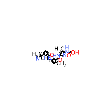 Cc1ccc(NC(=O)c2cccc(C(C)(C)C#N)c2)cc1C(=O)Nc1cnc(NC(=O)CO)c(C)c1